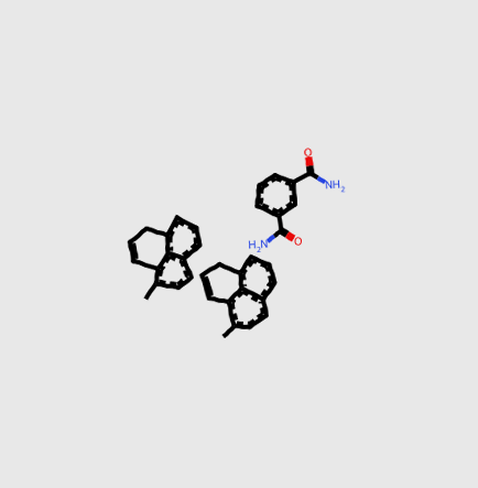 Cc1ccc2cccc3c2c1C=CC3.Cc1ccc2cccc3c2c1C=CC3.NC(=O)c1cccc(C(N)=O)c1